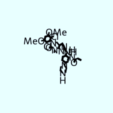 C=CC(=O)Nc1cc(N2CCNCC2)ccc1Nc1ncc2c(n1)N(C)C(=O)N(c1c(Cl)c(OC)cc(OC)c1Cl)C2